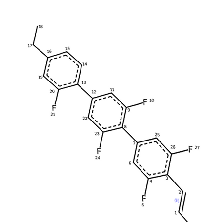 C/C=C/c1c(F)cc(-c2c(F)cc(-c3ccc(CC)cc3F)cc2F)cc1F